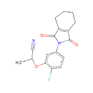 CC(C#N)Oc1cc(N2C(=O)C3=C(CCCC3)C2=O)ccc1F